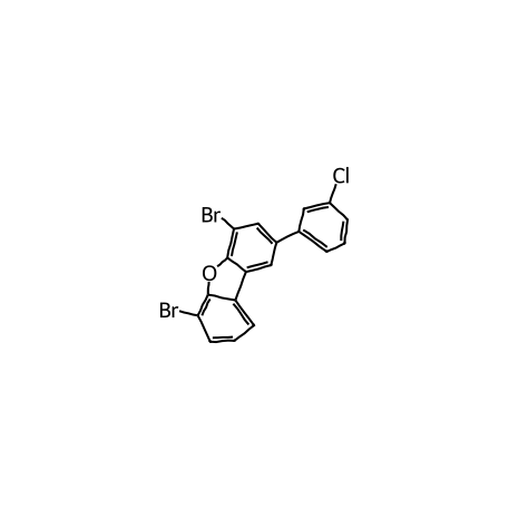 Clc1cccc(-c2cc(Br)c3oc4c(Br)cccc4c3c2)c1